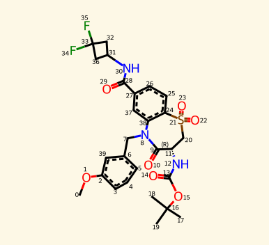 COc1cccc(CN2C(=O)[C@@H](NC(=O)OC(C)(C)C)CS(=O)(=O)c3ccc(C(=O)NC4CC(F)(F)C4)cc32)c1